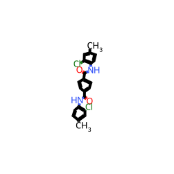 Cc1ccc(NC(=O)c2ccc(C(=O)Nc3ccc(C)cc3Cl)cc2)c(Cl)c1